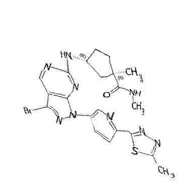 CNC(=O)[C@]1(C)CC[C@@H](Nc2ncc3c(Br)nn(-c4ccc(-c5nnc(C)s5)nc4)c3n2)C1